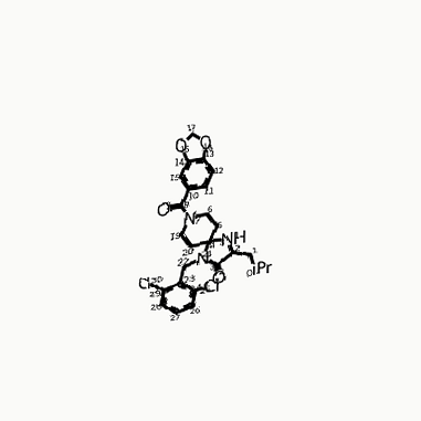 CC(C)CC1NC2(CCN(C(=O)c3ccc4c(c3)OCO4)CC2)N(Cc2c(Cl)cccc2Cl)C1=O